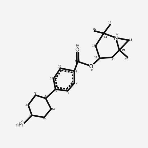 CCCC1CCC(c2ccc(C(=O)OC3CC(C)(C)N4CC4(C)C3)cc2)CC1